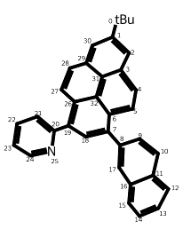 CC(C)(C)c1cc2ccc3c(-c4ccc5ccccc5c4)cc(-c4ccccn4)c4ccc(c1)c2c34